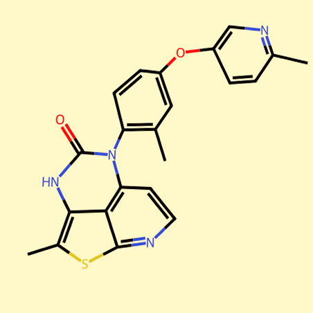 Cc1ccc(Oc2ccc(N3C(=O)Nc4c(C)sc5nccc3c45)c(C)c2)cn1